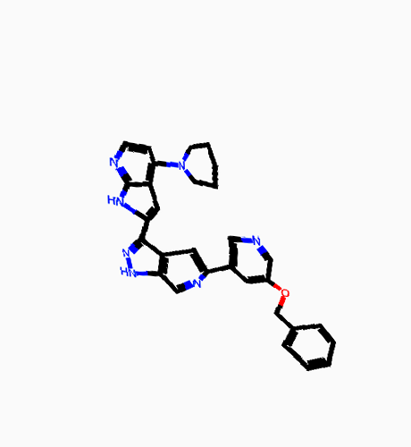 c1ccc(COc2cncc(-c3cc4c(-c5cc6c(N7CCCCC7)ccnc6[nH]5)n[nH]c4cn3)c2)cc1